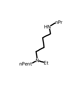 CCCCCN(CC)CCCCNCCC